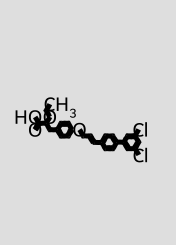 CCOC(Cc1ccc(OCC=Cc2ccc(-c3cc(Cl)cc(Cl)c3)cc2)cc1)C(=O)O